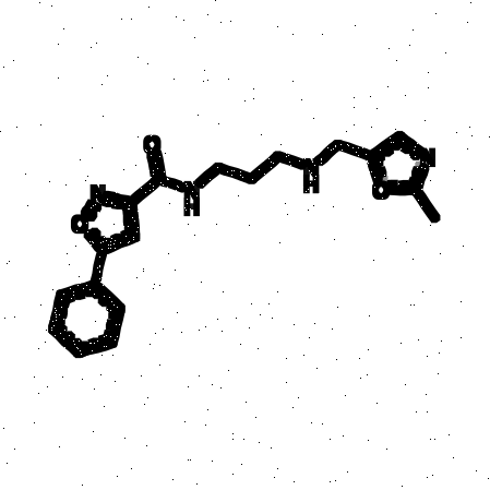 Cc1ncc(CNCCCNC(=O)c2cc(-c3ccccc3)on2)o1